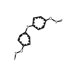 FSOc1ccc(Sc2ccc(OSF)cc2)cc1